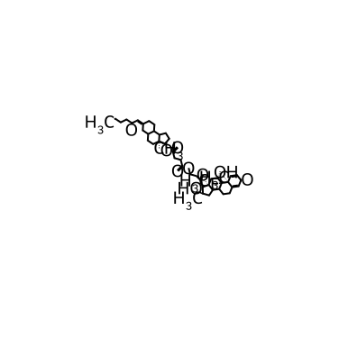 CCCCC(=O)/C=C1/CCC2C(CC[C@@]3(C)C2CC[C@@H]3OC(=O)CCC(=O)OCC2OC2[C@@]2(O)[C@@H](C)CC3C4CCC5=CC(=O)C=C[C@]5(C)[C@@]4(F)[C@@H](O)C[C@@]32C)C1